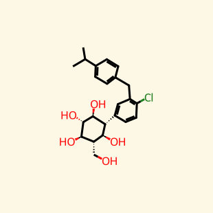 CC(C)c1ccc(Cc2cc([C@H]3[C@H](O)[C@@H](O)[C@H](O)[C@@H](CO)[C@@H]3O)ccc2Cl)cc1